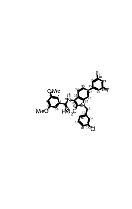 COc1cc(OC)cc(C(=O)Nc2c(C(=O)O)n(Cc3cccc(Cl)c3)c3cc(-c4cc(F)cc(F)c4)ccc23)c1